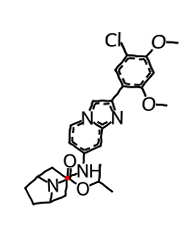 COc1cc(OC)c(-c2cn3ccc(NC4CC5CCC(C4)N5C(=O)OC(C)C)cc3n2)cc1Cl